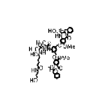 COc1cc2c(cc1OCc1cc(COc3cc4c(cc3OC)C(=O)N3C5C=CC=CC5C[C@H]3[C@H](S(=O)(=O)O)N4)cc(NC(=O)[C@H](C)NC(=O)[C@H](C)NC(O)CCCCC(=O)NCCCO)c1)N[C@@H]1Cc3ccccc3N1C2=O